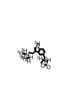 [2H]N1C(=O)OC[C@]1([2H])Cc1ccc2c(c1)c(CCN(C([2H])([2H])[2H])C([2H])([2H])[2H])cn2[2H]